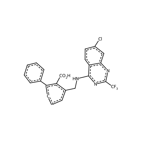 O=C(O)c1c(CNc2nc(C(F)(F)F)nc3cc(Cl)ccc23)cccc1-c1ccccc1